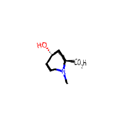 CN1CC[C@H](O)C[C@H]1C(=O)O